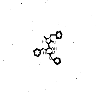 CC1NC(C(O)[C@H](Cc2ccccc2)NC(=O)Oc2ccccc2)C(=O)N1Cc1ccccc1